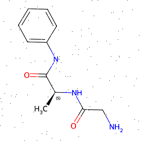 C[C@H](NC(=O)CN)C(=O)[N]c1ccccc1